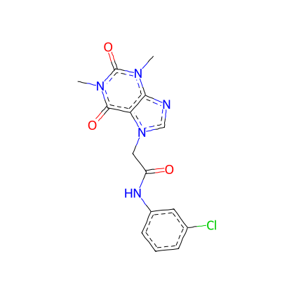 Cn1c(=O)c2c(ncn2CC(=O)Nc2cccc(Cl)c2)n(C)c1=O